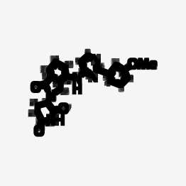 COc1cccc(-c2nccc(Nc3cccc4c3CN(C3CCC(=O)NC3=O)C4=O)n2)c1